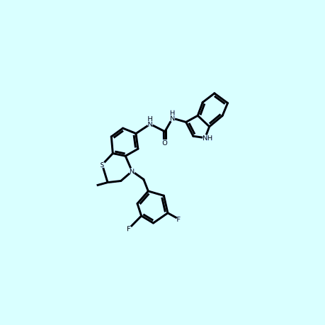 CC1CN(Cc2cc(F)cc(F)c2)c2cc(NC(=O)Nc3c[nH]c4ccccc34)ccc2S1